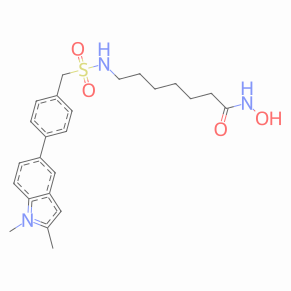 Cc1cc2cc(-c3ccc(CS(=O)(=O)NCCCCCCC(=O)NO)cc3)ccc2n1C